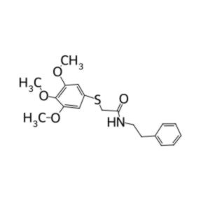 COc1cc(SCC(=O)NCCc2ccccc2)cc(OC)c1OC